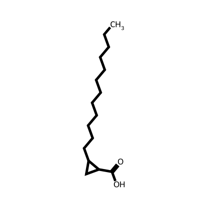 CCCCCCCCCCCCC1CC1C(=O)O